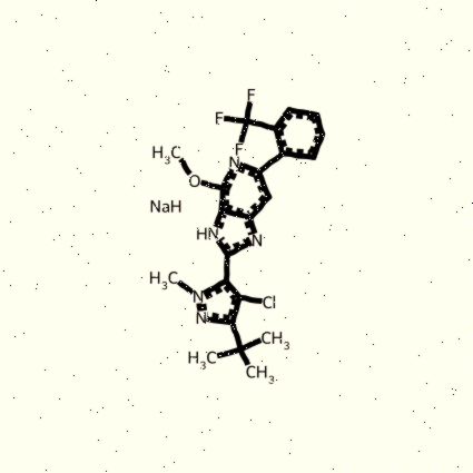 COc1nc(-c2ccccc2C(F)(F)F)cc2nc(-c3c(Cl)c(C(C)(C)C)nn3C)[nH]c12.[NaH]